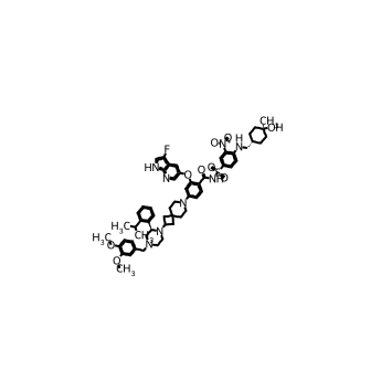 COc1ccc(CN2CCN(C3CC4(CCN(c5ccc(C(=O)NS(=O)(=O)c6ccc(NC[C@H]7CC[C@](C)(O)CC7)c([N+](=O)[O-])c6)c(Oc6cnc7[nH]cc(F)c7c6)c5)CC4)C3)[C@H](c3ccccc3C(C)C)C2)cc1OC